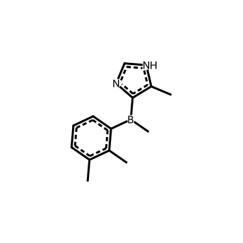 CB(c1cccc(C)c1C)c1nc[nH]c1C